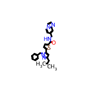 CC(C)Cc1cc(-c2ccc(C(=O)NCc3ccn4ccnc4c3)s2)n(Cc2ccccc2)n1